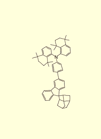 CC1(C)CCC(C)(C)c2c(N(c3ccc(-c4ccc5c(c4)-c4ccccc4C54C5CC6CC7CC4C75C6)cc3)c3cccc4c3C(C)(C)CCC4(C)C)cccc21